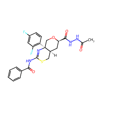 CC(=O)NNC(=O)[C@H]1C[C@H]2CSC(NC(=O)c3ccccc3)=N[C@@]2(c2ccc(F)cc2F)CO1